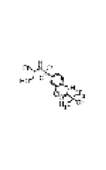 CC(C)[C@H](CO)NS(=O)(=O)c1ccc(NC(=O)[C@@](C)(O)C(F)(F)F)c(Cl)c1